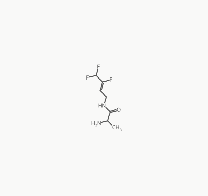 CC(N)C(=O)NCC=C(F)C(F)F